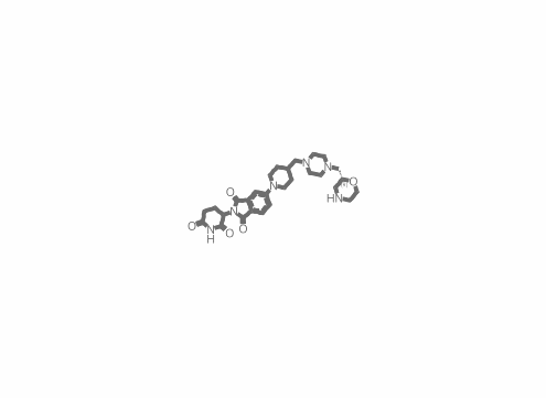 O=C1CCC(N2C(=O)c3ccc(N4CCC(CN5CCN(C[C@H]6CNCCO6)CC5)CC4)cc3C2=O)C(=O)N1